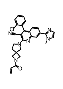 C=CC(=O)N1CC2(CCN(c3nc4cc(-c5nccn5C)ccc4c(-c4ccccc4Cl)c3C#N)C2)C1